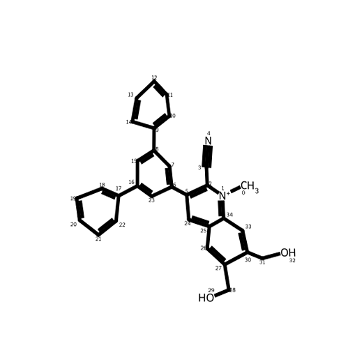 C[n+]1c(C#N)c(-c2cc(-c3ccccc3)cc(-c3ccccc3)c2)cc2cc(CO)c(CO)cc21